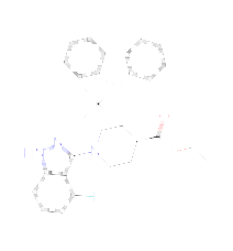 CCOC(=O)[C@H]1CCN(c2n[nH]c3cccc(F)c23)C[C@@H]1O[Si](c1ccccc1)(c1ccccc1)C(C)(C)C